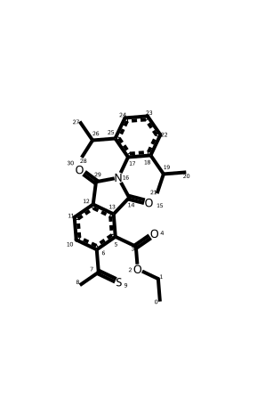 CCOC(=O)c1c(C(C)=S)ccc2c1C(=O)N(c1c(C(C)C)cccc1C(C)C)C2=O